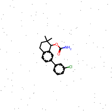 CC1(C)CCc2ccc(-c3cccc(Cl)c3)cc2C1OC(N)=O